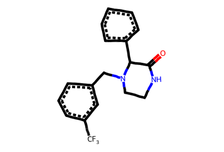 O=C1NCCN(Cc2cccc(C(F)(F)F)c2)C1c1ccccc1